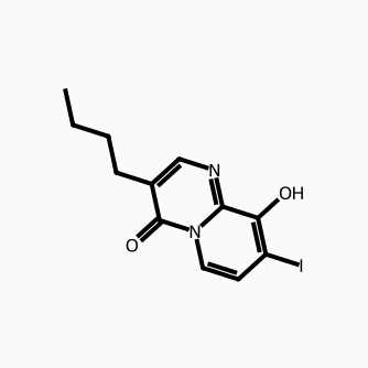 CCCCc1cnc2c(O)c(I)ccn2c1=O